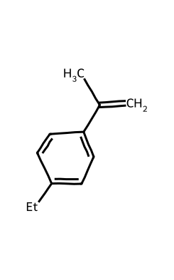 [CH2]Cc1ccc(C(=C)C)cc1